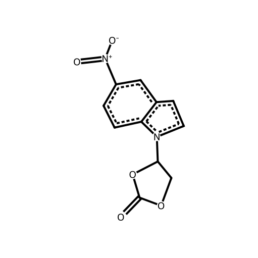 O=C1OCC(n2ccc3cc([N+](=O)[O-])ccc32)O1